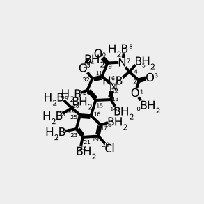 BOC(=O)C(B)(B)N(B)C(=O)c1nc(B)c(-c2c(B)c(Cl)c(B)c(B)c2C(B)(B)B)c(B)c1OB